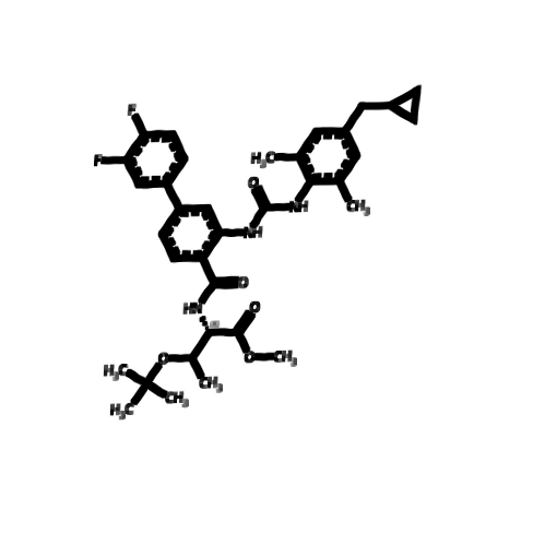 COC(=O)[C@@H](NC(=O)c1ccc(-c2ccc(F)c(F)c2)cc1NC(=O)Nc1c(C)cc(CC2CC2)cc1C)C(C)OC(C)(C)C